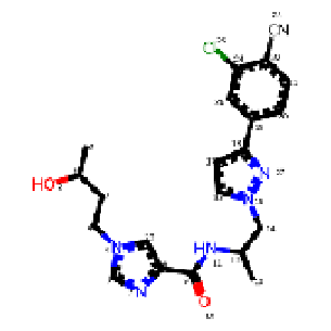 CC(O)CCn1cnc(C(=O)NC(C)Cn2ccc(-c3ccc(C#N)c(Cl)c3)n2)c1